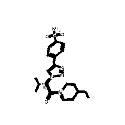 CCC1CCN(C(=O)[C@H](C(C)C)n2cc(-c3ccc(S(N)(=O)=O)cc3)nn2)CC1